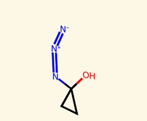 [N-]=[N+]=NC1(O)CC1